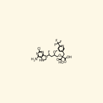 COC(COC(Cc1ccc(C(F)(F)F)nc1)(C(=O)O)C(=O)O)CC(F)N1CNc2c(N)nc(Cl)nc21